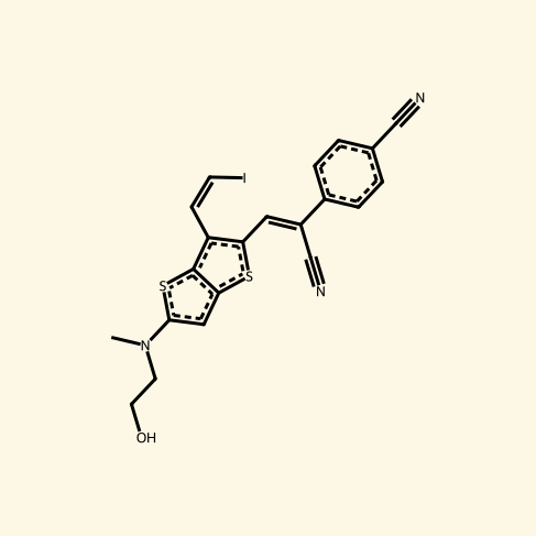 CN(CCO)c1cc2sc(/C=C(\C#N)c3ccc(C#N)cc3)c(/C=C\I)c2s1